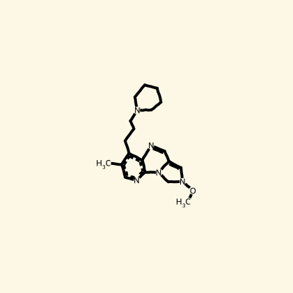 CON1C=C2C=Nc3c(ncc(C)c3CCCN3CCCCC3)N2C1